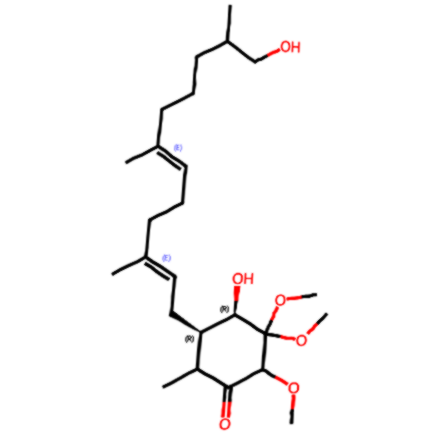 COC1C(=O)C(C)[C@@H](C/C=C(\C)CC/C=C(\C)CCCC(C)CO)[C@@H](O)C1(OC)OC